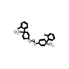 O=[N+]([O-])C1(c2ccccc2I)C=CC(OOOC2C=CC(c3ccccc3I)([N+](=O)[O-])C=C2)C=C1